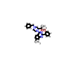 Cc1ccc2c(N3CCN(Cc4ccccc4)CC3C(C)C)nc(-c3ccccc3O)nc2c1